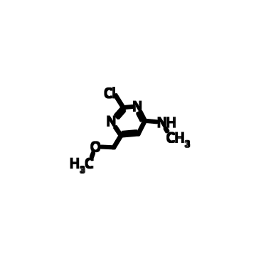 CNc1cc(COC)nc(Cl)n1